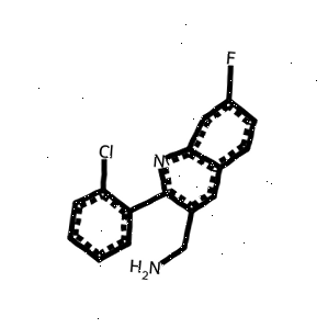 NCc1cc2ccc(F)cc2nc1-c1ccccc1Cl